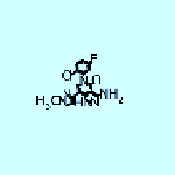 Cn1ccc(-c2cn(-c3cc(F)ccc3Cl)c(=O)c3c(N)n[nH]c23)n1